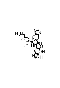 C[C@H](NC(=O)CN)C(=O)N[C@@H](Cc1c[nH]cn1)C(=O)N[C@@H](Cc1c[nH]cn1)C(=O)O